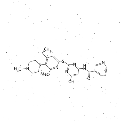 C=Cc1cc(Sc2nc(O)cc(NC(=O)c3cccnc3)n2)nc(OC)c1N1CCN(C)CC1